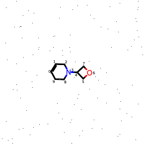 [C]1=CCN(C2COC2)CC1